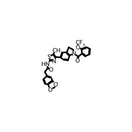 Cc1sc(NC(=O)Cc2ccc3c(c2)OCO3)nc1-c1ccc2c(c1)CCN2C(=O)c1ccccc1OC(F)(F)F